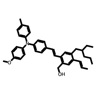 CC=Cc1cc(CO)c(C=Cc2ccc(N(c3ccc(C)cc3)c3ccc(OC)cc3)cc2)cc1CC(CC)CCC